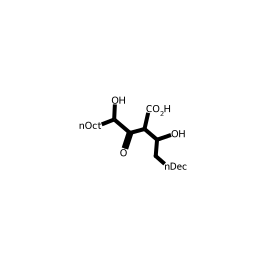 CCCCCCCCCCCC(O)C(C(=O)O)C(=O)C(O)CCCCCCCC